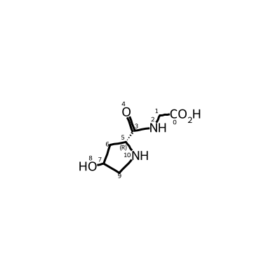 O=C(O)CNC(=O)[C@H]1CC(O)CN1